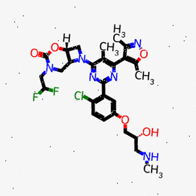 CNC[C@@H](O)COc1ccc(Cl)c(-c2nc(-c3c(C)noc3C)c(C)c(N3C[C@H]4OC(=O)N(CC(F)F)CC43)n2)c1